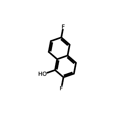 Oc1c(F)ccc2cc(F)ccc12